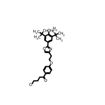 CC(C)(C)c1cc(-c2nc(CCOc3ccc(C(=O)CCCCl)cc3)co2)cc(C(C)(C)C)c1O